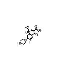 O=C(O)C1=C[N+]([O-])(C2CC2)c2cc(N3CCNCC3)c(F)cc2C1=O